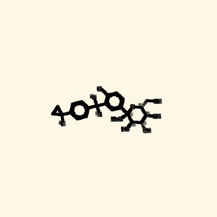 [2H]C1(c2ccc(C([2H])([2H])c3cc([C@]4(OC)O[C@H](CO)[C@@H](O)[C@H](O)[C@H]4O)ccc3Cl)cc2)CC1